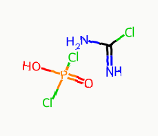 N=C(N)Cl.O=P(O)(Cl)Cl